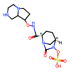 O=C(NOC1CCN2CCNCC12)[C@@H]1CC[C@@H]2CN1C(=O)N2OS(=O)(=O)O